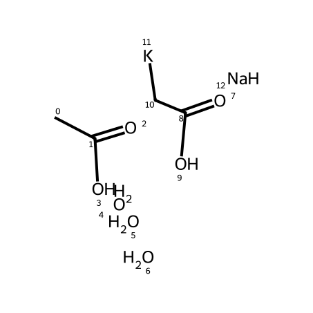 CC(=O)O.O.O.O.O=C(O)[CH2][K].[NaH]